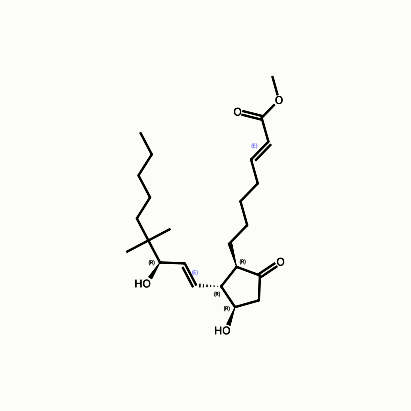 CCCCCC(C)(C)[C@H](O)/C=C/[C@H]1[C@H](O)CC(=O)[C@@H]1CCCC/C=C/C(=O)OC